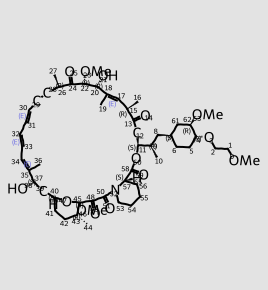 COCCO[C@@H]1CC[C@@H](C[C@@H](C)[C@@H]2CC(=O)[C@H](C)/C=C(\C)[C@@H](O)[C@@H](OC)C(=O)[C@H](C)CC/C=C/C=C/C=C(\C)[C@@H](O)C[C@@H]3CC[C@@H](C)[C@@](OC)(O3)C(=O)C(=O)N3CCCC[C@H]3C(=O)O2)C[C@H]1OC